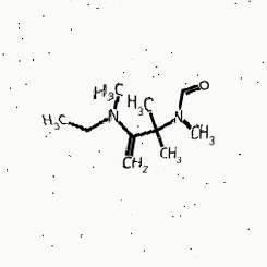 C=C(N(C)CC)C(C)(C)N(C)C=O